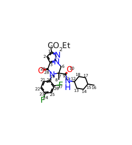 CCOC(=O)c1cc2n(n1)CC(C)(C(=O)NC1CCC(C)CC1)N(c1ccc(F)cc1F)C2=O